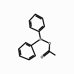 CC(=O)O[Si](c1ccccc1)c1ccccc1